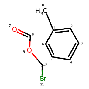 Cc1ccccc1.O=COCBr